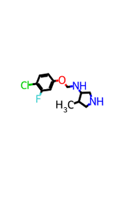 CC1CNCC1NCOc1ccc(Cl)c(F)c1